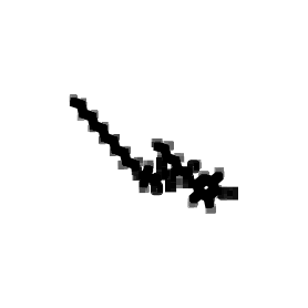 CCCCCCCCCCCCSC(C)(C)C(=O)NNC(CCCC)C(=O)Nc1cc(C)c(O)c(C)c1C